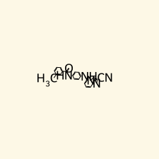 Cc1cccc(C(=O)Nc2ccc(Nc3cccc4nc(C#N)cn34)cc2)c1